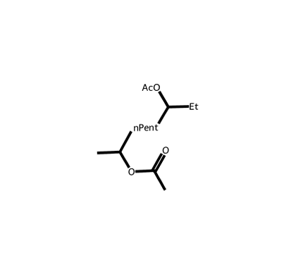 CC(=O)OC(C)C.CCCCCC(CC)OC(C)=O